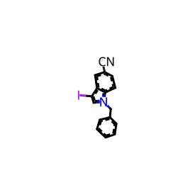 N#Cc1ccc2c(c1)c(I)cn2Cc1ccccc1